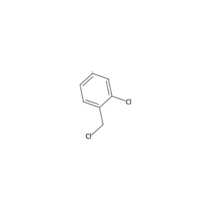 ClCc1cc[c]cc1Cl